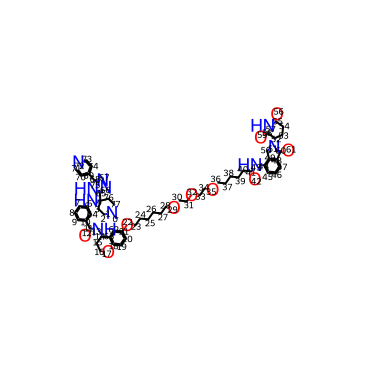 CN1CCC(Nc2cccc(C(=O)N[C@@H]3CCOc4ccc(OCCCCCCOCCOCCOCCCCCC(=O)Nc5cccc6c5CN(C5CCC(=O)NC5=O)C6=O)cc43)c2)(c2nnc(-c3ccncc3)[nH]2)CC1